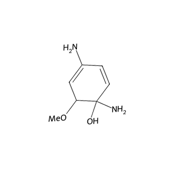 COC1C=C(N)C=CC1(N)O